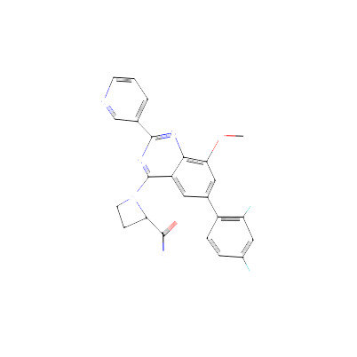 COc1cc(-c2ccc(F)cc2F)cc2c(N3CCC3C(N)=O)nc(-c3cccnc3)nc12